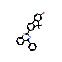 CC1(C)c2cc(Br)ccc2-c2ccc(-c3nc(-c4ccccc4)c4ccccc4n3)cc21